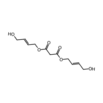 O=C(CC(=O)OCC=CCO)OCC=CCO